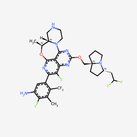 Cc1c(F)c(N)cc(-c2nc3c4c(nc(OC[C@@]56CCCN5[C@H](CC(F)F)CC6)nc4c2F)N2CCNC[C@H]2[C@H](C)O3)c1C(F)(F)F